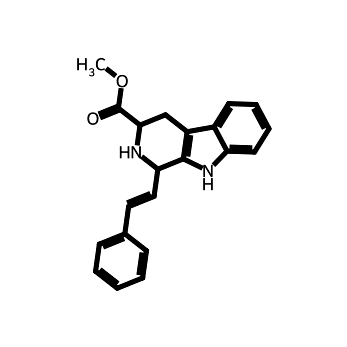 COC(=O)C1Cc2c([nH]c3ccccc23)C(C=Cc2ccccc2)N1